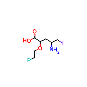 NC(CI)CC(OCCF)C(=O)O